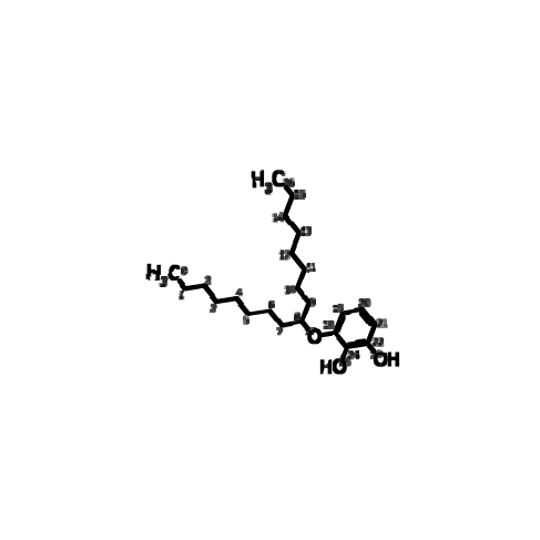 CCCCCCCCC(CCCCCCCC)Oc1cccc(O)c1O